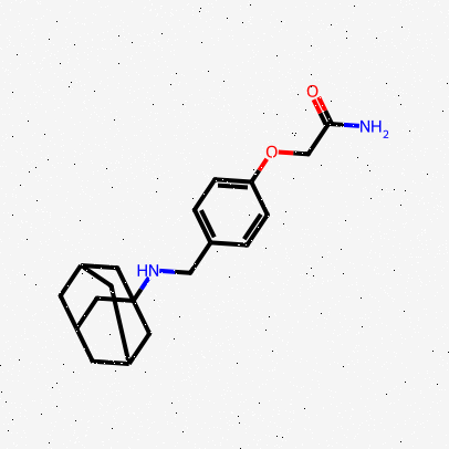 NC(=O)COc1ccc(CNC23CC4CC(CC(C4)C2)C3)cc1